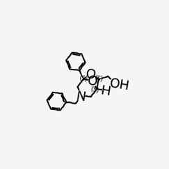 OC[C@@H]1O[C@@]2(c3ccccc3)CN(Cc3ccccc3)C[C@@H]1O2